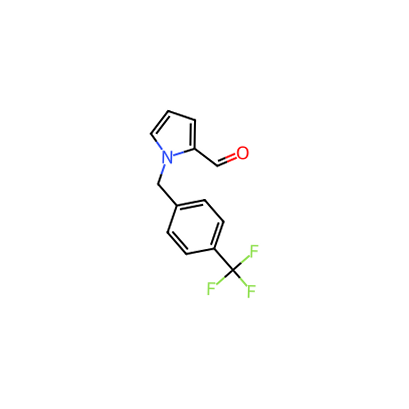 O=Cc1cccn1Cc1ccc(C(F)(F)F)cc1